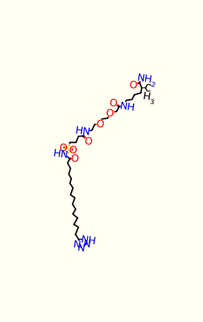 C[C@@H](CCCCNC(=O)COCCOCCNC(=O)CCCS(=O)(=O)NC(=O)CCCCCCCCCCCCCCCc1nnn[nH]1)C(N)=O